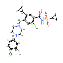 O=C(NS(=O)(=O)C1CC1)c1cc(C2CC2)c(CN2CCN(c3ccc(Cl)c(Cl)c3)CC2)cc1F